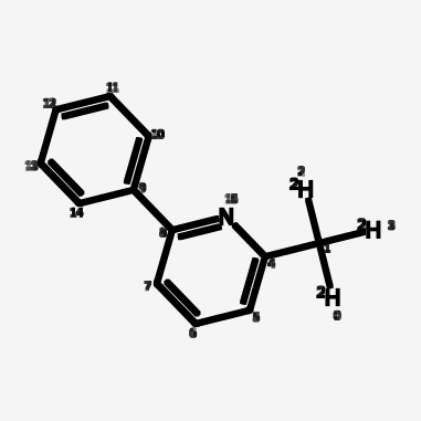 [2H]C([2H])([2H])c1cccc(-c2ccccc2)n1